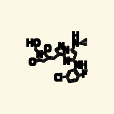 O=C1CC(=Cc2cnn3c(NC4CC4)cc(Nc4cc(Cl)ccc4F)nc23)C(=O)N1CO